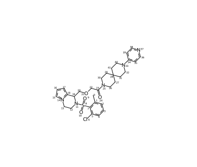 Cc1cccc(Cl)c1S(=O)(=O)N1CCn2cccc2C1COCC(=O)N1CCC2(CC1)CCN(c1ccncc1)CC2